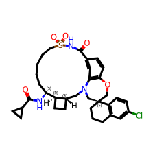 O=C1NS(=O)(=O)CCCCC[C@H](NC(=O)C2CC2)[C@@H]2CC[C@H]2CN2C[C@@]3(CCCc4cc(Cl)ccc43)COc3ccc1cc32